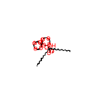 C1COCCOCCOCCO1.C1COCCOCCOCCO1.CCCCCCCCCCCCC(CCCCCCCCCCCC)(C(=O)O)C(=O)OC